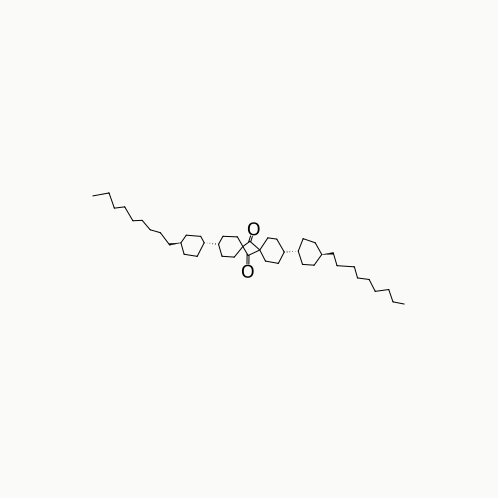 CCCCCCCCC[C@H]1CC[C@H](C2CCC3(CC2)C(=O)C2(CCC([C@H]4CC[C@H](CCCCCCCCC)CC4)CC2)C3=O)CC1